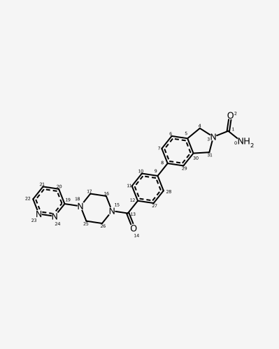 NC(=O)N1Cc2ccc(-c3ccc(C(=O)N4CCN(c5cccnn5)CC4)cc3)cc2C1